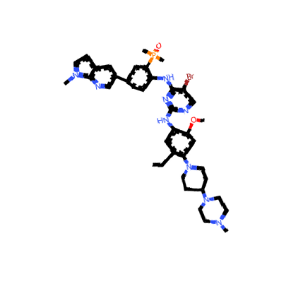 CCc1cc(Nc2ncc(Br)c(Nc3ccc(-c4cnc5c(ccn5C)c4)cc3P(C)(C)=O)n2)c(OC)cc1N1CCC(N2CCN(C)CC2)CC1